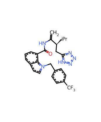 C=C(NC(=O)c1cccc2ccn(Cc3ccc(C(F)(F)F)cc3)c12)[C@H](Cc1nnn[nH]1)C(C)C